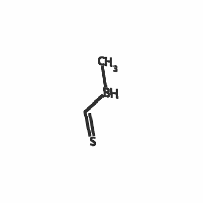 CBC=S